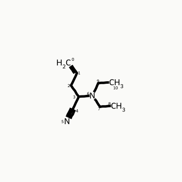 C=CCC(C#N)N(CC)CC